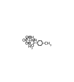 Cc1ccc(C(=O)NC(C)(C)P(=O)(O)O)cc1